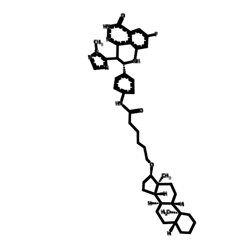 Cn1ncnc1C1c2n[nH]c(=O)c3cc(F)cc(c23)N[C@@H]1c1ccc(NC(=O)CCCCCO[C@@H]2CC[C@H]3[C@@H]4CC[C@H]5CCCC[C@]5(C)[C@H]4CC[C@]23C)cc1